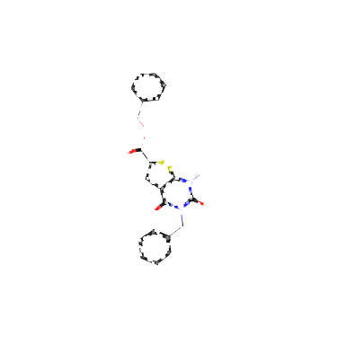 Cn1c(=O)n(Cc2ccccc2)c(=O)c2cc(C(=O)OCc3ccccc3)sc21